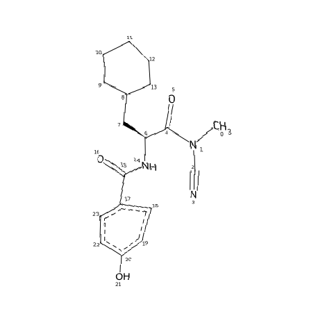 CN(C#N)C(=O)[C@H](CC1CCCCC1)NC(=O)c1ccc(O)cc1